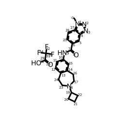 Cn1nnc2cc(C(=O)Nc3ccc4c(c3)CCN(C3CCC3)CC4)ccc21.O=C(O)C(F)(F)F